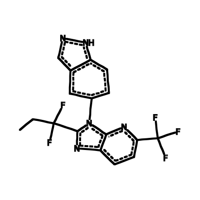 CCC(F)(F)c1nc2ccc(C(F)(F)F)nc2n1-c1ccc2[nH]ncc2c1